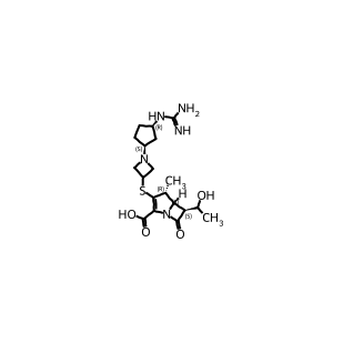 CC(O)[C@H]1C(=O)N2C(C(=O)O)=C(SC3CN([C@H]4CC[C@@H](NC(=N)N)C4)C3)[C@H](C)[C@H]12